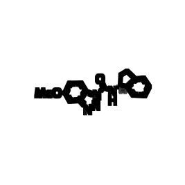 COc1ccc2c(c1)nnn2C(=O)N[C@@H]1CCc2ccccc21